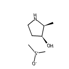 C[C@@H]1NCC[C@@H]1O.C[S+](C)[O-]